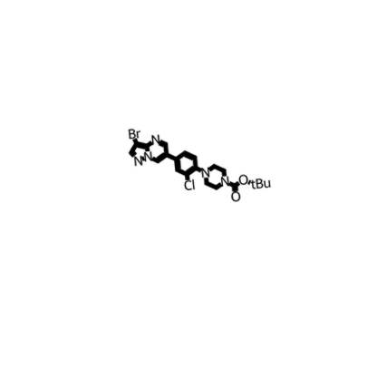 CC(C)(C)OC(=O)N1CCN(c2ccc(-c3cnc4c(Br)cnn4c3)cc2Cl)CC1